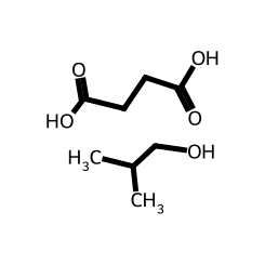 CC(C)CO.O=C(O)CCC(=O)O